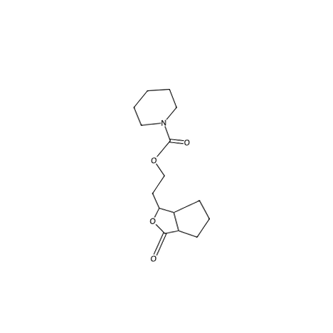 O=C1OC(CCOC(=O)N2CCCCC2)C2CCCC12